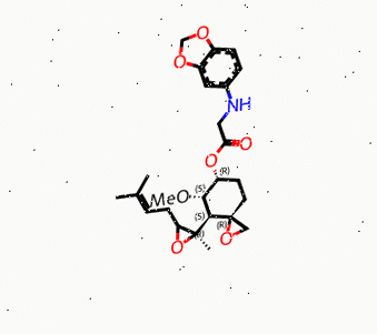 CO[C@@H]1[C@H](OC(=O)CNc2ccc3c(c2)OCO3)CC[C@]2(CO2)[C@H]1[C@@]1(C)OC1CC=C(C)C